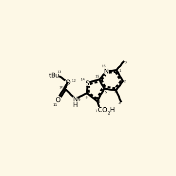 Cc1cc(C)c2c(C(=O)O)c(NC(=O)OC(C)(C)C)sc2n1